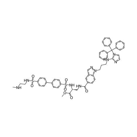 CNCCNS(=O)(=O)c1ccc(-c2ccc(S(=O)(=O)N[C@@H](CNC(=O)c3ccc4c(cnn4CCCNc4nccn4C(c4ccccc4)(c4ccccc4)c4ccccc4)c3)C(=O)OC)cc2)cc1